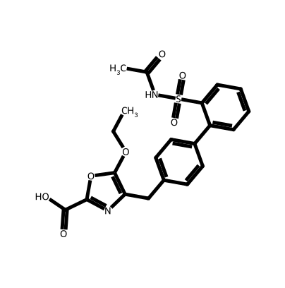 CCOc1oc(C(=O)O)nc1Cc1ccc(-c2ccccc2S(=O)(=O)NC(C)=O)cc1